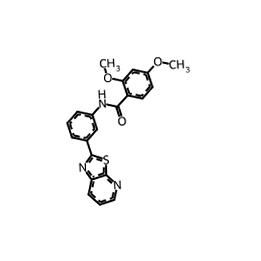 COc1ccc(C(=O)Nc2cccc(-c3nc4cccnc4s3)c2)c(OC)c1